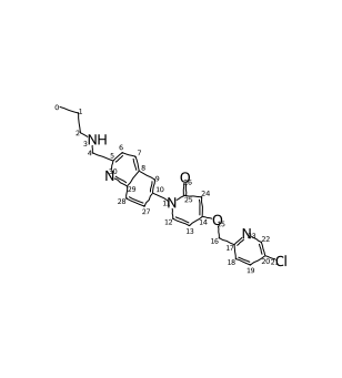 CCCNCc1ccc2cc(-n3ccc(OCc4ccc(Cl)cn4)cc3=O)ccc2n1